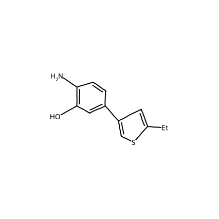 CCc1cc(-c2ccc(N)c(O)c2)cs1